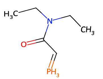 CCN(CC)C(=O)C=[PH3]